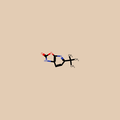 CC(C)(C)c1ccc2[nH]c(=O)oc2n1